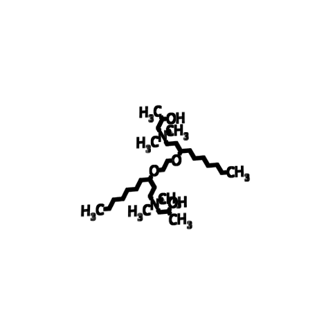 CCCCCCCC(CC[N+](C)(C)CC(C)O)OCCOC(CCCCCCC)CC[N+](C)(C)CC(C)O